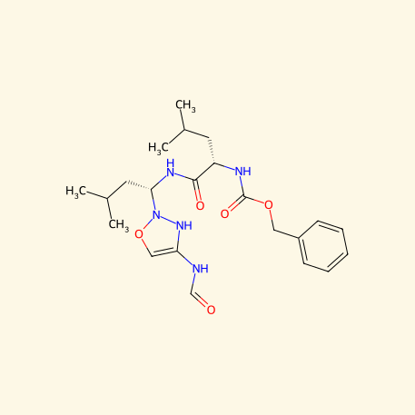 CC(C)C[C@H](NC(=O)OCc1ccccc1)C(=O)N[C@@H](CC(C)C)N1NC(NC=O)=CO1